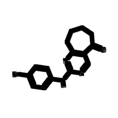 O=C1CCCCc2nc(Nc3ccc(Br)cc3)ncc21